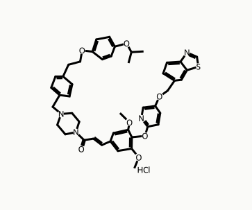 COc1cc(C=CC(=O)N2CCN(Cc3ccc(CCOc4ccc(OC(C)C)cc4)cc3)CC2)cc(OC)c1Oc1ccc(OCc2ccc3ncsc3c2)cn1.Cl